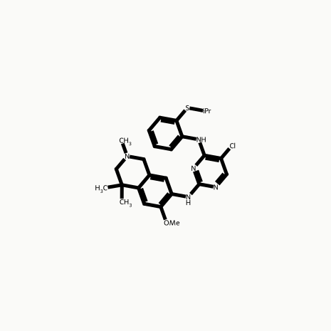 COc1cc2c(cc1Nc1ncc(Cl)c(Nc3ccccc3SC(C)C)n1)CN(C)CC2(C)C